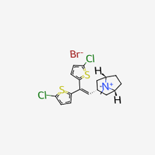 C[N+]1(C)[C@@H]2CC[C@H]1C[C@@H](C=C(c1ccc(Cl)s1)c1ccc(Cl)s1)C2.[Br-]